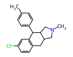 Cc1ccc(C2c3cc(Cl)ccc3CC3CN(C)CC32)cc1